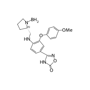 BN1CCC[C@H]1CNc1ccc(-c2noc(=O)[nH]2)cc1Oc1ccc(OC)cc1